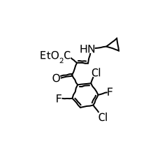 CCOC(=O)C(=CNC1CC1)C(=O)c1c(F)cc(Cl)c(F)c1Cl